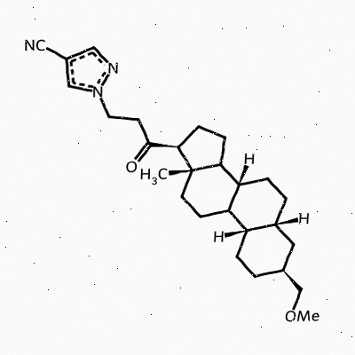 COC[C@H]1CC[C@@H]2C3CC[C@@]4(C)C(CC[C@@H]4C(=O)CCn4cc(C#N)cn4)[C@@H]3CC[C@@H]2C1